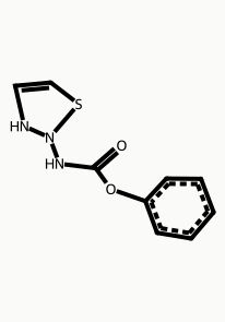 O=C(NN1NC=CS1)Oc1ccccc1